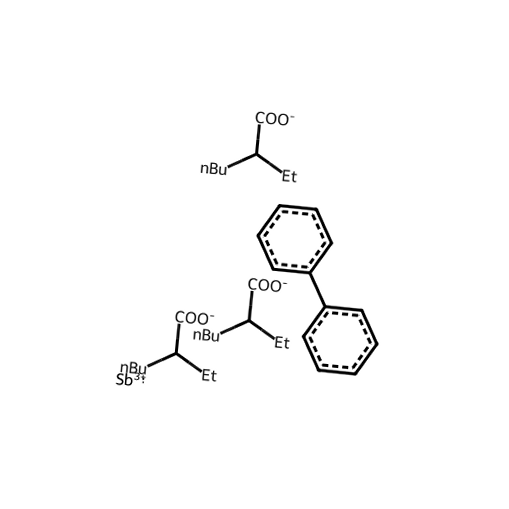 CCCCC(CC)C(=O)[O-].CCCCC(CC)C(=O)[O-].CCCCC(CC)C(=O)[O-].[Sb+3].c1ccc(-c2ccccc2)cc1